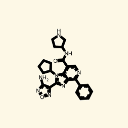 Nc1nonc1-c1nc2c(-c3ccccc3)ncc(C(=O)NC3CCNC3)c2n1C1CCCC1